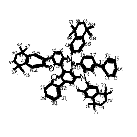 Cc1cc2c(cc1N1c3cc(-c4ccccc4)ccc3B3c4c1cc1c(oc5ccccc51)c4-c1c(ccc4c1oc1cc5c(cc14)C(C)(C)CCC5(C)C)N3c1ccc3c(c1)C(C)(C)CCC3(C)C)C(C)(C)CCC2(C)C